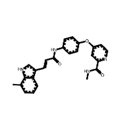 CNC(=O)c1cc(Oc2ccc(NC(=O)/C=C/c3c[nH]c4c(C)cccc34)cc2)ccn1